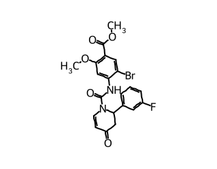 COC(=O)c1cc(Br)c(NC(=O)N2C=CC(=O)CC2c2cccc(F)c2)cc1OC